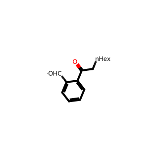 CCCCCCCC(=O)c1ccccc1[C]=O